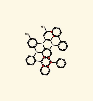 CC1CC(C(C)(C)C)=CC2=C1N(c1ccccc1-c1ccccc1)c1cc(N(c3ccccc3)c3ccccc3)cc3c1B2c1cc(C(C)(C)C)ccc1N3c1ccccc1-c1ccccc1